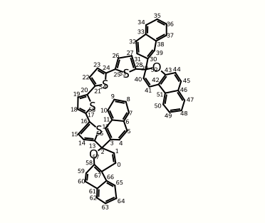 C1=CC(c2ccc3ccccc3c2)(c2ccc(-c3ccc(-c4ccc(-c5ccc(C6(c7ccc8ccccc8c7)C=Cc7c(ccc8ccccc78)O6)s5)s4)s3)s2)Oc2ccc3ccccc3c21